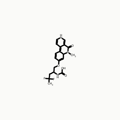 CN1C(=O)C2=CNC=CC2=C2C=CC(OCC(CC(C)(F)F)NC(=O)O)=CC21